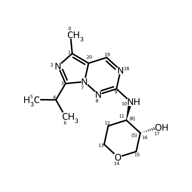 Cc1nc(C(C)C)n2nc(N[C@@H]3CCOC[C@H]3O)ncc12